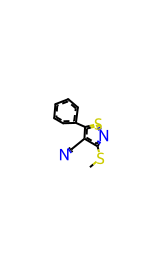 CSc1nsc(-c2ccccc2)c1C#N